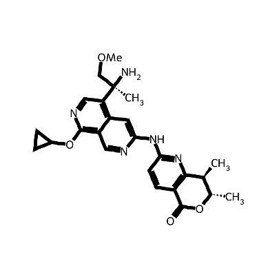 COC[C@@](C)(N)c1cnc(OC2CC2)c2cnc(Nc3ccc4c(n3)[C@@H](C)[C@H](C)OC4=O)cc12